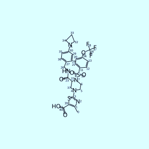 Cc1nc(N2CCN(S(=O)(=O)c3ccc(OC(F)(F)F)cc3)C(C(=O)NCc3ccc(N4CCC4)cc3)C2)sc1C(=O)O